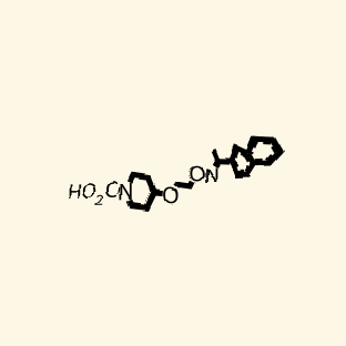 CC(=NOCCOC1CCN(C(=O)O)CC1)c1ccc2ccccc2c1